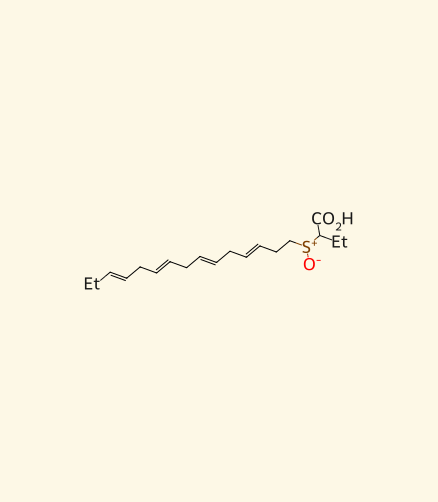 CCC=CCC=CCC=CCC=CCC[S+]([O-])C(CC)C(=O)O